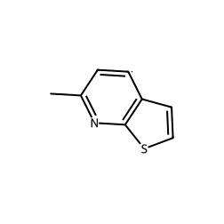 Cc1c[c]c2ccsc2n1